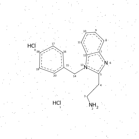 Cl.Cl.NCCc1nc2ccccc2n1Cc1ccccc1